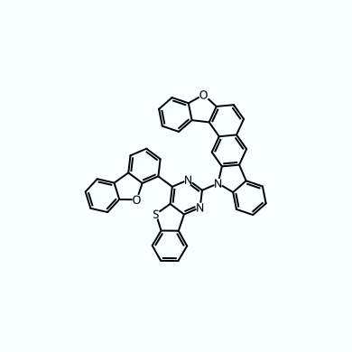 c1ccc2c(c1)oc1c(-c3nc(-n4c5ccccc5c5cc6ccc7oc8ccccc8c7c6cc54)nc4c3sc3ccccc34)cccc12